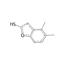 Cc1ccc2oc(S)cc2c1C